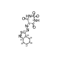 O=C1NS(=O)(=O)NC(=O)C1N=Nc1snc2ccccc12